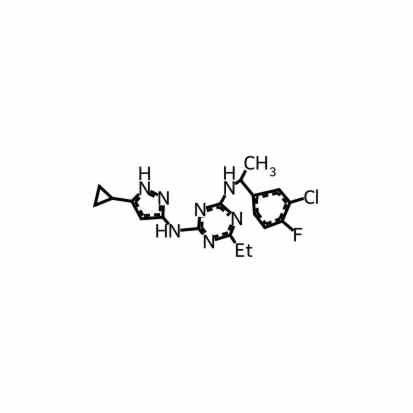 CCc1nc(Nc2cc(C3CC3)[nH]n2)nc(NC(C)c2ccc(F)c(Cl)c2)n1